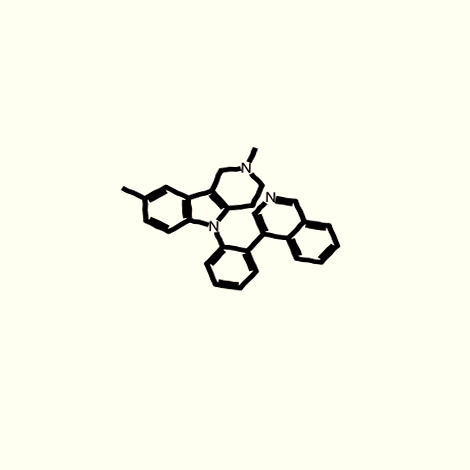 Cc1ccc2c(c1)c1c(n2-c2ccccc2-c2cncc3ccccc23)CCN(C)C1